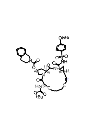 COc1ccc(S(=O)(=O)NC(=O)[C@@]23C[C@H]2/C=C\CCCCC[C@H](NC(=O)OC(C)(C)C)C(=O)N2C[C@H](OC(=O)N4CCc5ccccc5C4)C[C@H]2C(=O)N3)cc1